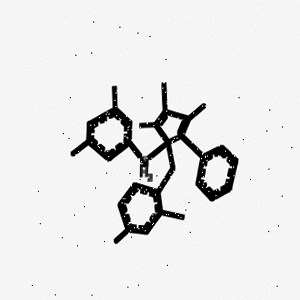 CC1=C(C)C(Cc2ccc(C)cc2C)([SiH2]c2cc(C)cc(C)c2)C(c2ccccc2)=C1C